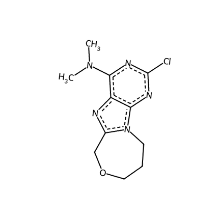 CN(C)c1nc(Cl)nc2c1nc1n2CCCOC1